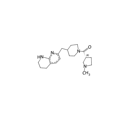 CN1CC[C@@H](C(=O)N2CCC(Cc3ccc4c(n3)NCCC4)CC2)C1